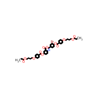 C=CC(=O)OCCCCOc1ccc(C(=O)Oc2ccc3nc(-c4ccc(OC(=O)c5ccc(OCCCCOC(=O)C=C)cc5)c(Br)c4)oc(=O)c3c2)cc1